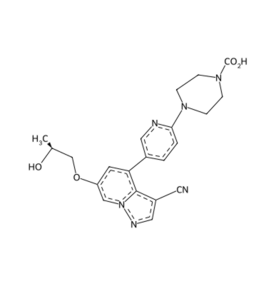 C[C@H](O)COc1cc(-c2ccc(N3CCN(C(=O)O)CC3)nc2)c2c(C#N)cnn2c1